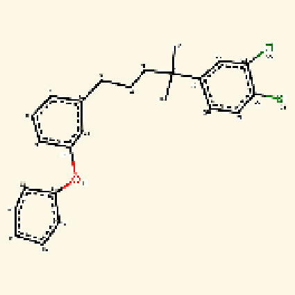 CC(C)(CCCc1cccc(Oc2ccccc2)c1)c1ccc(Br)c(Cl)c1